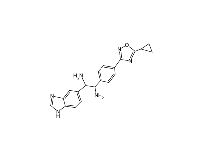 NC(c1ccc(-c2noc(C3CC3)n2)cc1)C(N)c1ccc2[nH]cnc2c1